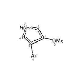 COc1c[nH]nc1C(C)=O